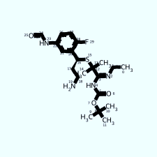 CC/N=C(/NC(=O)OC(C)(C)C)C(C)(C)S[C@@H](CCN)c1cc(NC=O)ccc1F